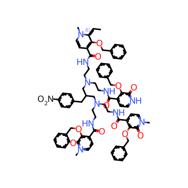 C/C=C1\C(OCc2ccccc2)=C(C(=O)NCCN(CCNC(=O)c2cc[nH]c(=O)c2OCc2ccccc2)CC(Cc2ccc([N+](=O)[O-])cc2)CN(CCNC(=O)c2ccn(C)c(=O)c2OCc2ccccc2)CCNC(=O)c2ccn(C)c(=O)c2OCc2ccccc2)C=CN1C